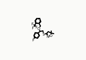 CC1(C)CC(SCC(OCc2ccccc2C(F)(F)F)c2ccc(F)cc2)=NO1